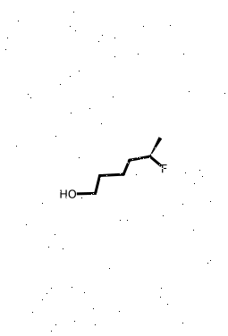 C[C@@H](F)CCCCO